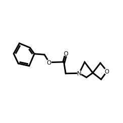 O=C(CN1CC2(COC2)C1)OCc1ccccc1